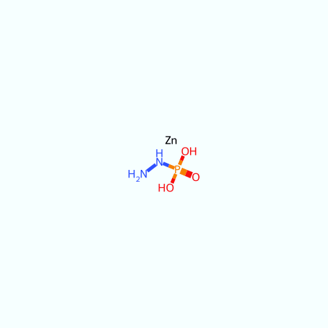 NNP(=O)(O)O.[Zn]